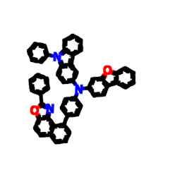 c1ccc(-c2nc3c(ccc4cccc(-c5ccc(N(c6ccc7c(c6)oc6ccccc67)c6ccc7c(c6)c6ccccc6n7-c6ccccc6)cc5)c43)o2)cc1